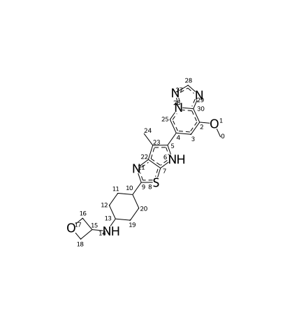 COc1cc(-c2[nH]c3sc(C4CCC(NC5COC5)CC4)nc3c2C)cn2ncnc12